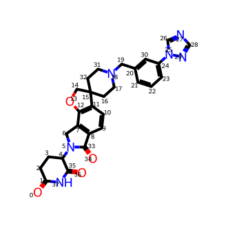 O=C1CCC(N2Cc3c(ccc4c3OCC43CCN(Cc4cccc(-n5cncn5)c4)CC3)C2=O)C(=O)N1